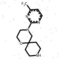 FC(F)(F)c1ccnc(N2CCOC3(CCNCC3)C2)n1